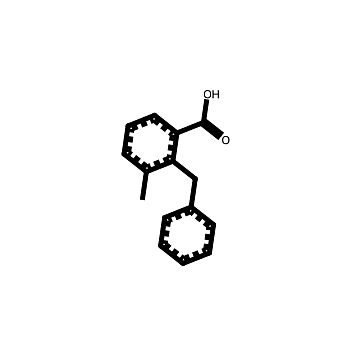 Cc1cccc(C(=O)O)c1Cc1ccccc1